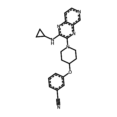 N#Cc1cccc(OC2CCN(c3nc4cnccc4nc3NC3CC3)CC2)c1